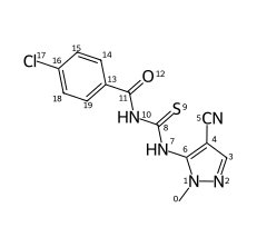 Cn1ncc(C#N)c1NC(=S)NC(=O)c1ccc(Cl)cc1